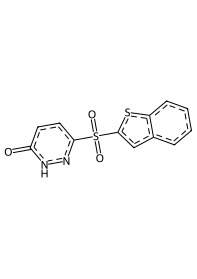 O=c1ccc(S(=O)(=O)c2cc3ccccc3s2)n[nH]1